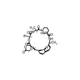 CC(C)[C@@H]1OC(=O)C2(/C=C/c3ccc4ccc(nc4c3)[C@@H](C)NC(=O)[C@@H]3CCCN(N3)C(=O)[C@H](C)NC1=O)COC(=O)CO2